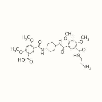 COc1cc(OC)c(C(=O)N[C@H]2CC[C@H](NC(=O)c3cc(C(=O)NCCN)c(OC)cc3OC)CC2)cc1C(=O)O